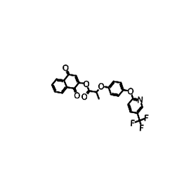 CC(Oc1ccc(Oc2ccc(C(F)(F)F)cn2)cc1)C(=O)OC1=CC(=O)c2ccccc2C1=O